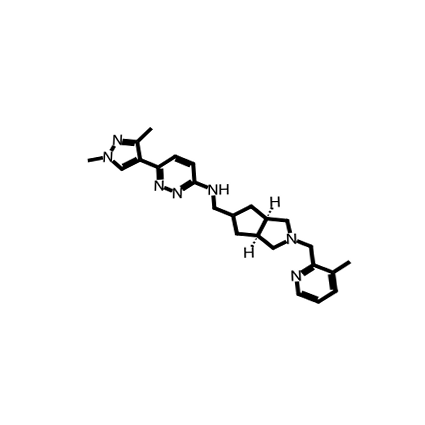 Cc1cccnc1CN1C[C@H]2CC(CNc3ccc(-c4cn(C)nc4C)nn3)C[C@H]2C1